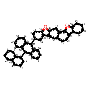 c1ccc2c(-c3c4ccccc4c(-c4ccc5oc6cc7c(ccc8c9ccccc9oc78)cc6c5c4)c4ccccc34)cccc2c1